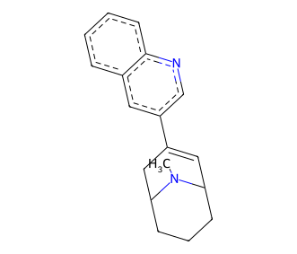 CN1C2C=C(c3cnc4ccccc4c3)CC1CCC2